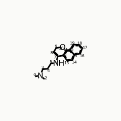 CN(C)CCCNC1=CCOc2c1ccc1ccccc21